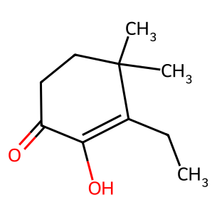 CCC1=C(O)C(=O)CCC1(C)C